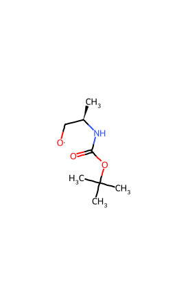 C[C@H](C[O])NC(=O)OC(C)(C)C